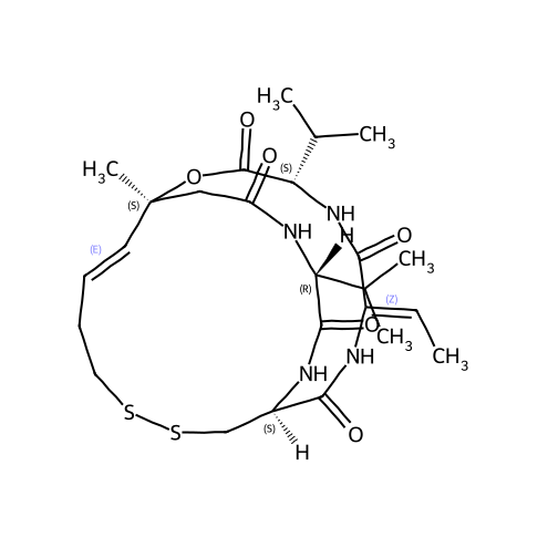 C/C=C1\NC(=O)[C@H]2CSSCC/C=C/[C@](C)(CC(=O)N[C@H](C(C)C)C(=O)N2)OC(=O)[C@H](C(C)C)NC1=O